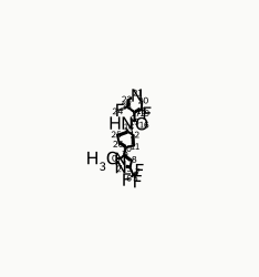 Cn1nc(C(F)(F)F)cc1-c1ccc(NC(=O)c2c(F)cncc2F)cc1